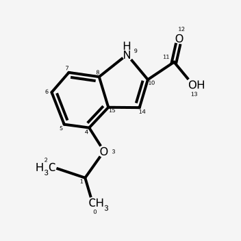 CC(C)Oc1cccc2[nH]c(C(=O)O)cc12